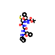 CSCC[C@@H](NC(=O)[C@H](Cc1ccccc1)NC(=O)OC(C)(C)C)C(=O)NCC(=O)N[C@@H](Cc1ccccc1)C(=O)NC1C2CC3CC(C2)CC1C3